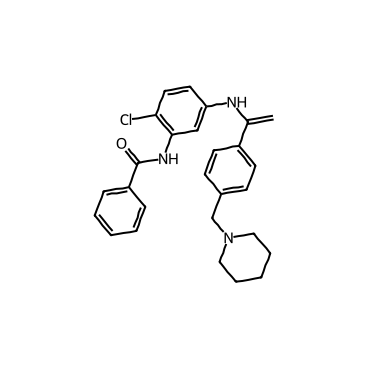 C=C(Nc1ccc(Cl)c(NC(=O)c2ccccc2)c1)c1ccc(CN2CCCCC2)cc1